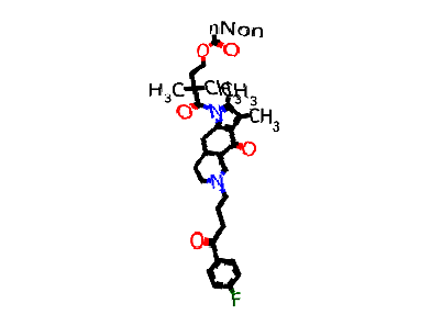 CCCCCCCCCC(=O)OCCC(C)(C)C(=O)n1c(C)c(C)c2c1CC1CCN(CCCC(=O)c3ccc(F)cc3)CC1C2=O